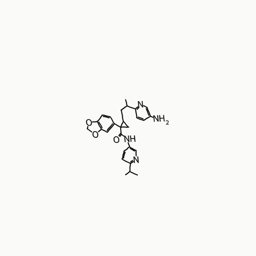 CC(C)c1ccc(NC(=O)C2(c3ccc4c(c3)OCO4)CC2CC(C)c2ccc(N)cn2)cn1